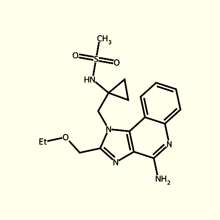 CCOCc1nc2c(N)nc3ccccc3c2n1CC1(NS(C)(=O)=O)CC1